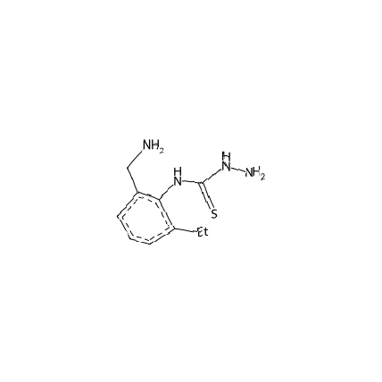 CCc1cccc(CN)c1NC(=S)NN